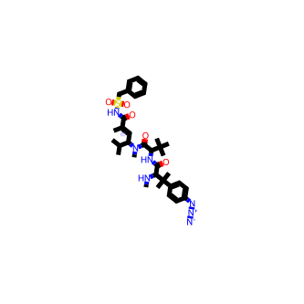 CNC(C(=O)NC(C(=O)N(C)C(/C=C(\C)C(=O)NS(=O)(=O)Cc1ccccc1)C(C)C)C(C)(C)C)C(C)(C)c1ccc(N=[N+]=[N-])cc1